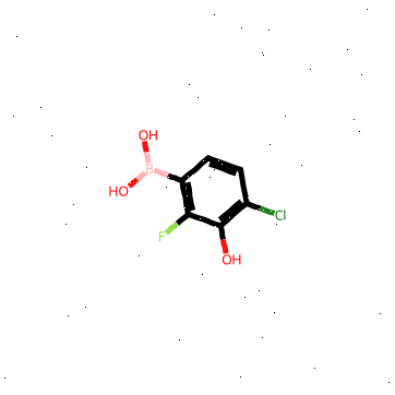 OB(O)c1ccc(Cl)c(O)c1F